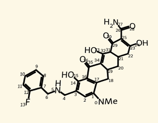 CNc1cc(CNCc2ccccc2F)c(O)c2c1CC1CC3CC(O)=C(C(N)=O)C(=O)C3C(O)=C1C2=O